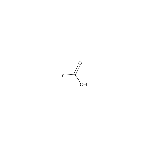 O=[C](O)[Y]